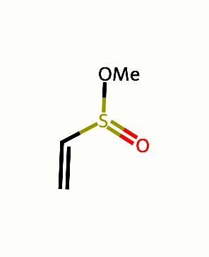 C=CS(=O)OC